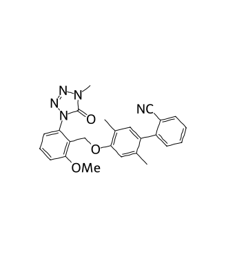 COc1cccc(-n2nnn(C)c2=O)c1COc1cc(C)c(-c2ccccc2C#N)cc1C